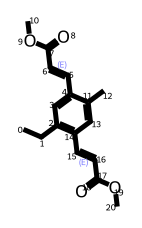 CCc1cc(/C=C/C(=O)OC)c(C)cc1/C=C/C(=O)OC